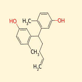 C=CCCC(c1cc(O)ccc1C)c1cc(O)ccc1C